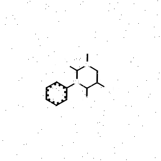 CN1CC(C=O)C(C=O)N(c2ccccc2)C1C=O